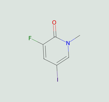 Cn1cc(I)cc(F)c1=O